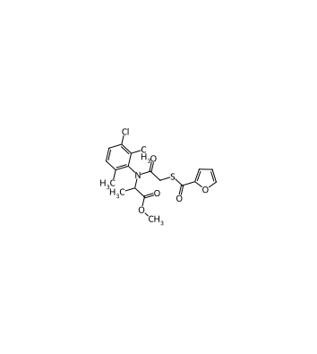 COC(=O)C(C)N(C(=O)CSC(=O)c1ccco1)c1c(C)ccc(Cl)c1C